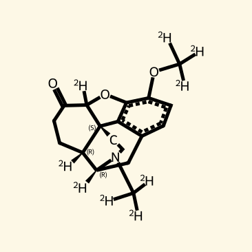 [2H]C([2H])([2H])Oc1ccc2c3c1OC1([2H])C(=O)CC[C@@]4([2H])[C@@]([2H])(C2)N(C([2H])([2H])[2H])CC[C@]314